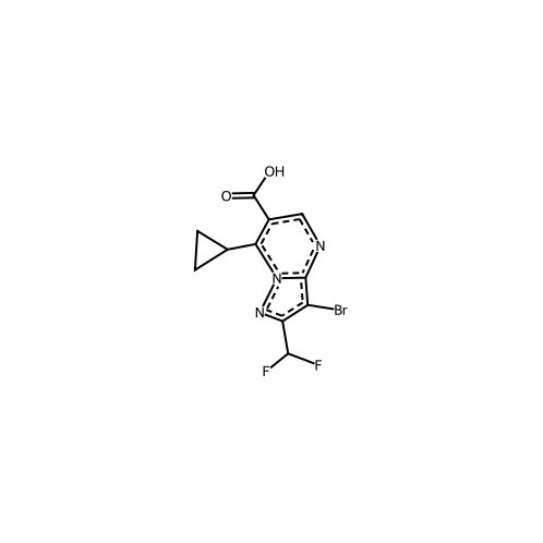 O=C(O)c1cnc2c(Br)c(C(F)F)nn2c1C1CC1